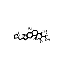 Cl.Cn1c(CN2CCC2)cc2cc3c(cc21)CCc1c-3[nH]c(=O)c(C(=O)O)c1O